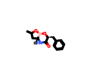 CC1C[C@@H]2NC(=O)[C@@H](Cc3ccccc3)OB2O1